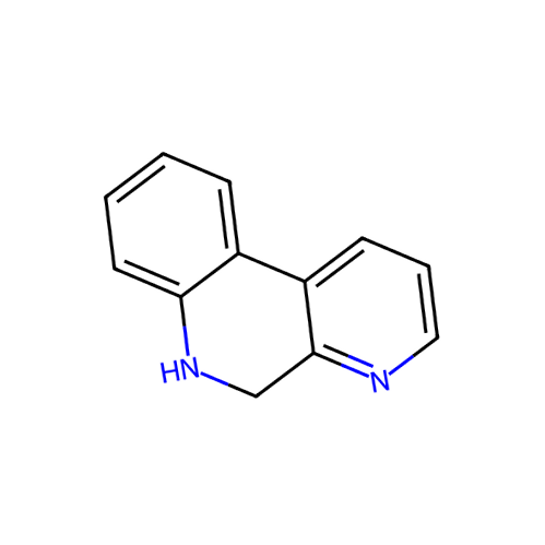 c1ccc2c(c1)NCc1ncccc1-2